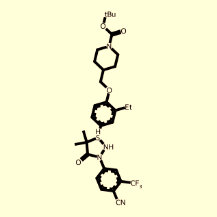 CCc1cc([SH]2NN(c3ccc(C#N)c(C(F)(F)F)c3)C(=O)C2(C)C)ccc1OCC1CCN(C(=O)OC(C)(C)C)CC1